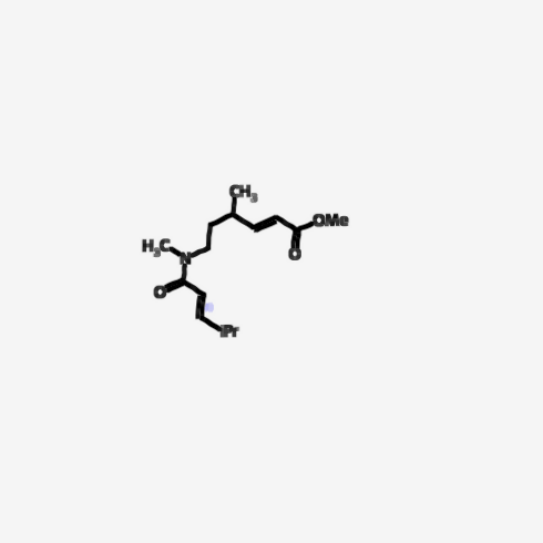 COC(=O)C=CC(C)CCN(C)C(=O)/C=C/C(C)C